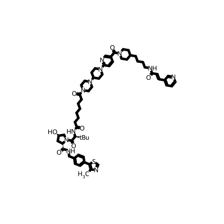 Cc1ncsc1-c1ccc(CNC(=O)[C@@H]2C[C@@H](O)CN2C(=O)[C@@H](NC(=O)CCCCCCC(=O)N2CCN(C3CCN(c4ccc(C(=O)N5CCC(CCCCNC(=O)/C=C/c6cccnc6)CC5)cn4)CC3)CC2)C(C)(C)C)cc1